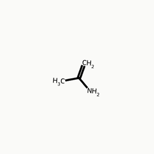 C=C(C)N